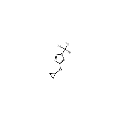 [2H]C([2H])([2H])n1ccc(OC2CC2)n1